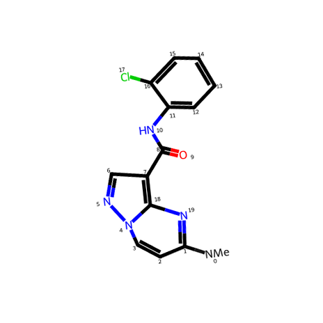 CNc1ccn2ncc(C(=O)Nc3ccccc3Cl)c2n1